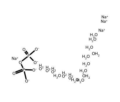 O.O.O.O.O.O.O.O.O.O.O.O.O.O.O.O.O=P([O-])([O-])OP(=O)([O-])[O-].[Na+].[Na+].[Na+].[Na+]